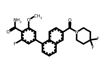 COc1cc(-c2cccc3cc(C(=O)N4CCC(F)(F)CC4)ccc23)cc(F)c1C(N)=O